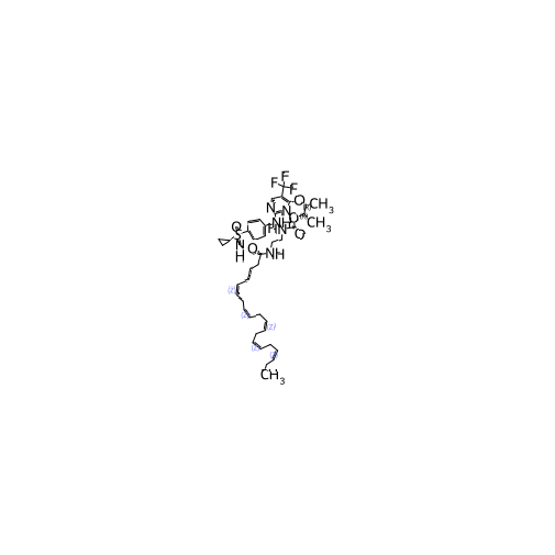 CC/C=C\C/C=C\C/C=C\C/C=C\C/C=C\CCCC(=O)NCCNC(=O)O[C@H](C)[C@@H](C)Oc1nc(Nc2ccc(S(=N)(=O)C3CC3)cc2)ncc1C(F)(F)F